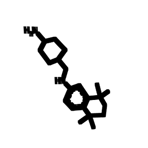 CC1(C)CCC(C)(C)c2cc(NCC3CCC(N)CC3)ccc21